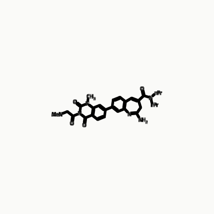 CCCN(CCC)C(=O)C1=Cc2ccc(-c3ccc4c(=O)n(C(=O)CNC)c(=O)n(C)c4c3)cc2N=C(N)C1